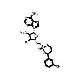 COC1C(O)[C@@H](COP2(=O)OCCC(c3cccc(C#N)c3)O2)O[C@H]1n1cnc2c(N)ncnc21